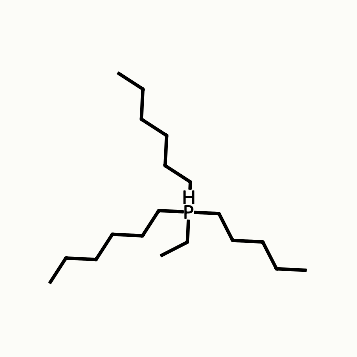 CCCCCC[PH](CC)(CCCCC)CCCCCC